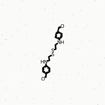 O=Cc1ccc(NCCSSCCNc2ccc(C=O)cc2)cc1